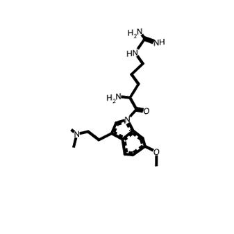 COc1ccc2c(CCN(C)C)cn(C(=O)C(N)CCCNC(=N)N)c2c1